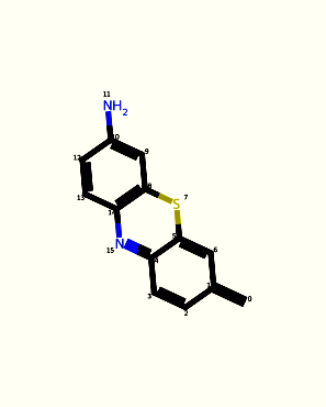 C=c1ccc2c(c1)Sc1cc(N)ccc1N=2